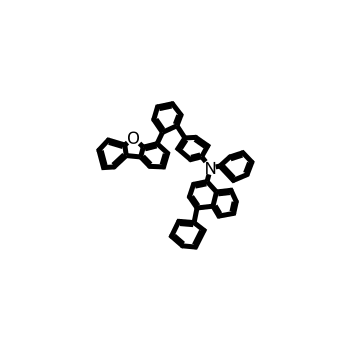 c1ccc(-c2ccc(N(c3ccccc3)c3ccc(-c4ccccc4-c4cccc5c4oc4ccccc45)cc3)c3ccccc23)cc1